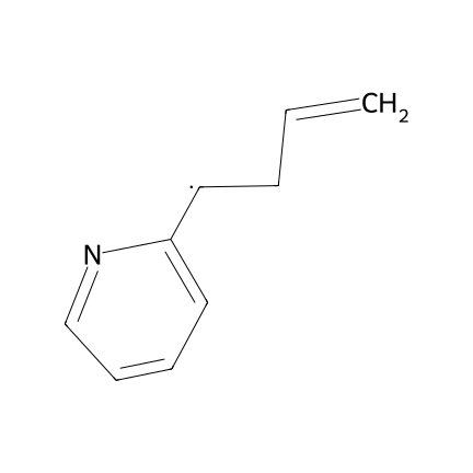 C=CC[CH]c1ccccn1